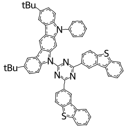 CC(C)(C)c1ccc2c(c1)c1cc3c4cc(C(C)(C)C)ccc4n(-c4nc(-c5ccc6sc7ccccc7c6c5)nc(-c5ccc6sc7ccccc7c6c5)n4)c3cc1n2-c1ccccc1